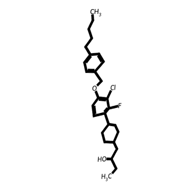 CCCCCc1ccc(COc2ccc(C3CCC(CC(O)CC)CC3)c(F)c2Cl)cc1